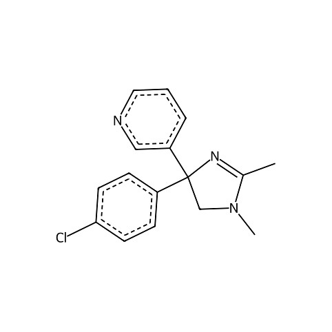 CC1=NC(c2ccc(Cl)cc2)(c2cccnc2)CN1C